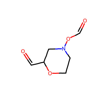 O=CON1CCOC(C=O)C1